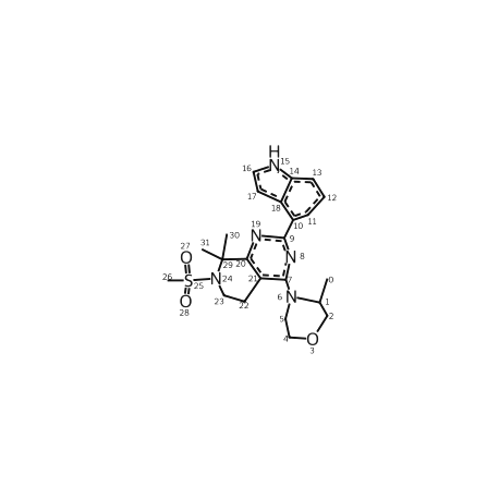 CC1COCCN1c1nc(-c2cccc3[nH]ccc23)nc2c1CCN(S(C)(=O)=O)C2(C)C